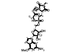 COc1nc(N)nc2c1ncn2[C@@H]1O[C@H](CO[P@](=O)(N[C@H](C)C(=O)OC(C)C)SC[C@H]2C(=O)N(C)C(=O)N2C)[C@@H](O)[C@@]1(C)O